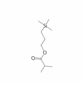 CC(C)C(=O)OCCC[Si](C)(C)C